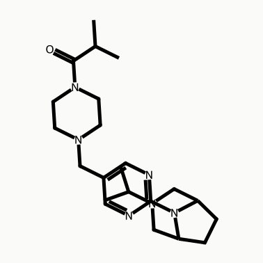 CC(C)C(=O)N1CCN(Cc2cnc(N3C4CCC3CN(C(C)C)C4)nc2)CC1